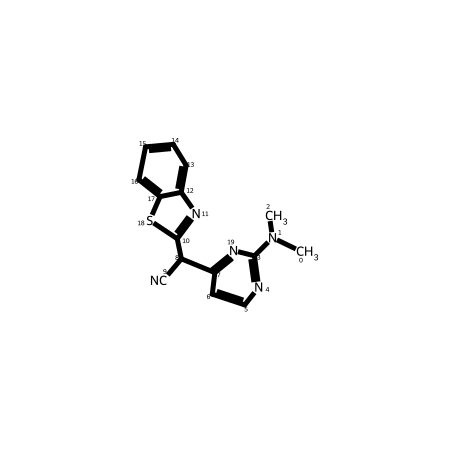 CN(C)c1nccc(C(C#N)c2nc3ccccc3s2)n1